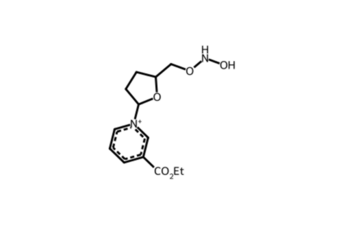 CCOC(=O)c1ccc[n+](C2CCC(CONO)O2)c1